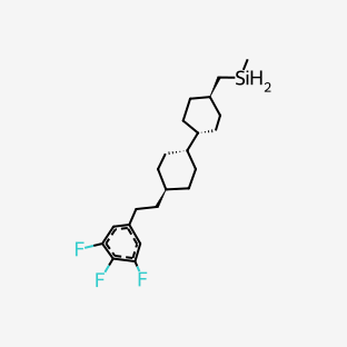 C[SiH2]C[C@H]1CC[C@H]([C@H]2CC[C@H](CCc3cc(F)c(F)c(F)c3)CC2)CC1